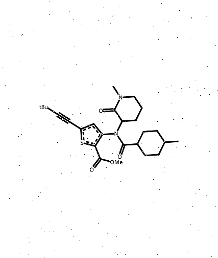 COC(=O)c1sc(C#CC(C)(C)C)cc1N(C(=O)C1CCC(C)CC1)C1CCCN(C)C1=O